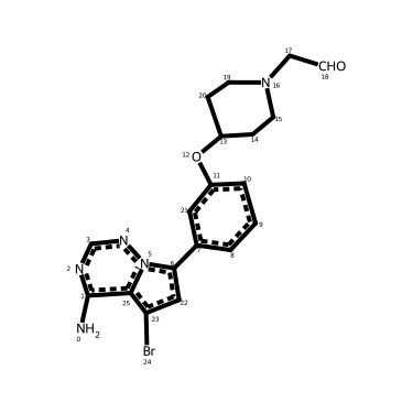 Nc1ncnn2c(-c3cccc(OC4CCN(CC=O)CC4)c3)cc(Br)c12